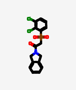 O=C(CS(=O)(=O)c1cccc(Cl)c1Cl)N1Cc2ccccc2C1